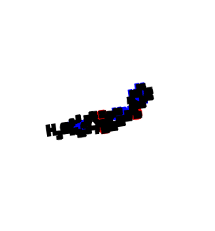 CN1CCN(c2ccc(S(=O)(=O)c3ccc(CNC(=O)c4cnc5nccn5c4)nc3)cc2)CC1